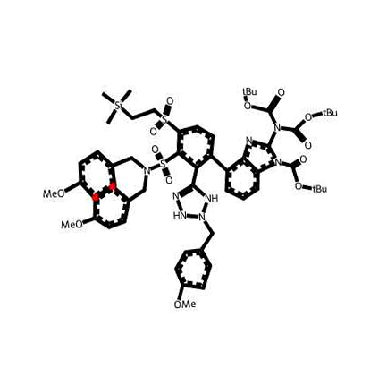 COc1ccc(CN2NN=C(c3c(-c4cccc5c4nc(N(C(=O)OC(C)(C)C)C(=O)OC(C)(C)C)n5C(=O)OC(C)(C)C)ccc(S(=O)(=O)CC[Si](C)(C)C)c3S(=O)(=O)N(Cc3ccc(OC)cc3)Cc3ccc(OC)cc3)N2)cc1